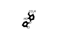 O=C(O)Cc1cccc(Oc2ccccc2Cl)c1O